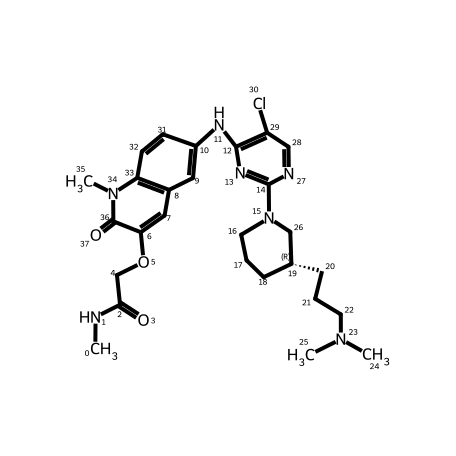 CNC(=O)COc1cc2cc(Nc3nc(N4CCC[C@@H](CCCN(C)C)C4)ncc3Cl)ccc2n(C)c1=O